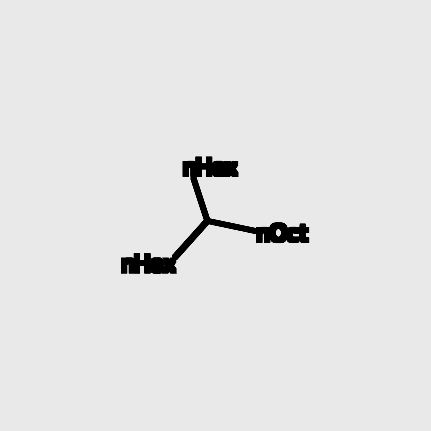 [CH2]CCCCCC(CCCCCC)CCCCCCCC